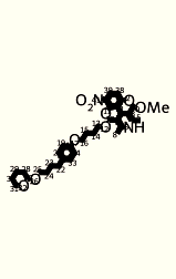 COC(=O)C1=C(C)NC(C)=C(C(=O)OCCCCOc2ccc(CCCCOC3CCCCO3)cc2)C1c1cccc([N+](=O)[O-])c1